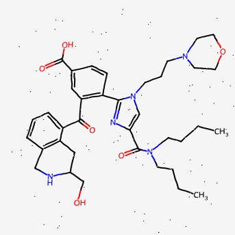 CCCCN(CCCC)C(=O)c1cn(CCCN2CCOCC2)c(-c2ccc(C(=O)O)cc2C(=O)c2cccc3c2CC(CO)NC3)n1